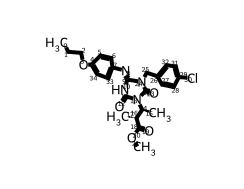 CCCOc1ccc(/N=c2\[nH]c(=O)n([C@@H](C)[C@@H](C)C(=O)OC)c(=O)n2Cc2ccc(Cl)cc2)cc1